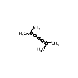 CCCCc1cc(CCCC)cc(-c2ccc(-c3ccc(-c4ccc(-c5cc(CCCC)cc(CCCC)c5)cc4)cc3)cc2)c1